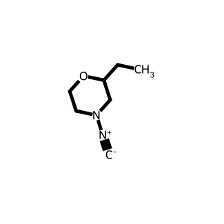 [C-]#[N+]N1CCOC(CC)C1